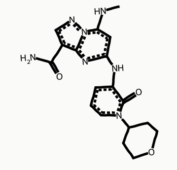 CNc1cc(Nc2cccn(C3CCOCC3)c2=O)nc2c(C(N)=O)cnn12